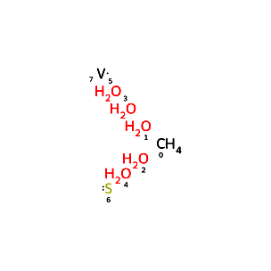 C.O.O.O.O.O.[S].[V]